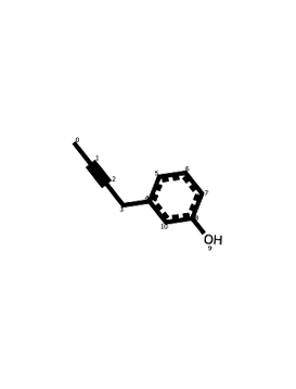 CC#CCc1cccc(O)c1